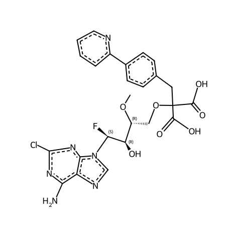 CO[C@H](COC(Cc1ccc(-c2ccccn2)cc1)(C(=O)O)C(=O)O)[C@@H](O)[C@H](F)n1cnc2c(N)nc(Cl)nc21